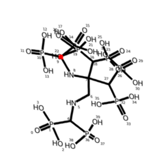 O=P(O)(O)C(NCC(NC(P(=O)(O)O)P(=O)(O)O)(C(P(=O)(O)O)P(=O)(O)O)C(P(=O)(O)O)P(=O)(O)O)P(=O)(O)O